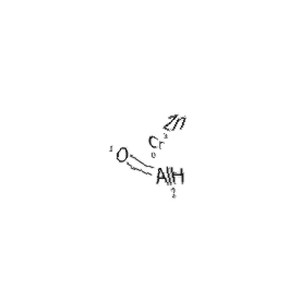 [Cr].[O]=[AlH].[Zn]